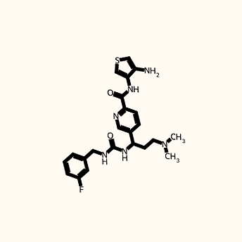 CN(C)CCC(NC(=O)NCc1cccc(F)c1)c1ccc(C(=O)Nc2cscc2N)nc1